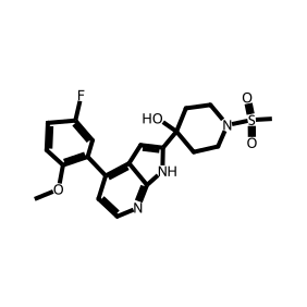 COc1ccc(F)cc1-c1ccnc2[nH]c(C3(O)CCN(S(C)(=O)=O)CC3)cc12